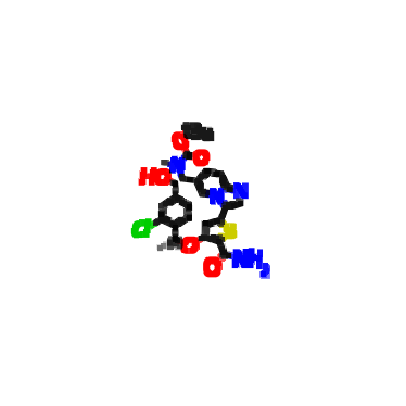 C[C@@H](Oc1cc(-c2cnc3ccc(CN(C)C(=O)OC(C)(C)C)cn23)sc1C(N)=O)c1ccc(CO)cc1Cl